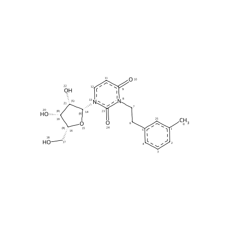 Cc1cccc(CCn2c(=O)ccn([C@@H]3O[C@H](CO)[C@H](O)[C@@H]3O)c2=O)c1